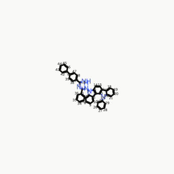 N=C(/N=C(\Nn1c2ccccc2c2c1ccc1c3ccccc3n(-c3ccccc3)c12)c1ccccc1)c1ccc(-c2ccccc2)cc1